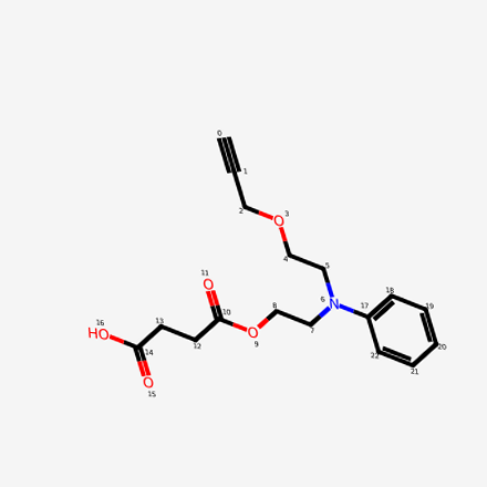 C#CCOCCN(CCOC(=O)CCC(=O)O)c1ccccc1